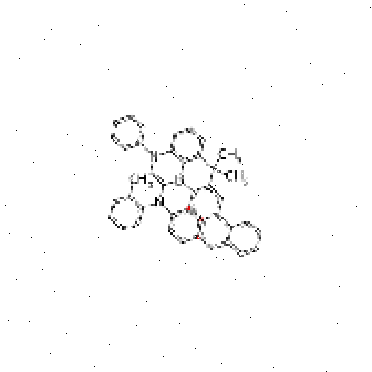 Cc1ccccc1N(C1=CN(c2ccccc2)c2cccc3c2B1c1cc2ccc4ccccc4c2cc1C3(C)C)c1ccccc1